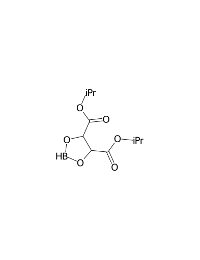 CC(C)OC(=O)C1OBOC1C(=O)OC(C)C